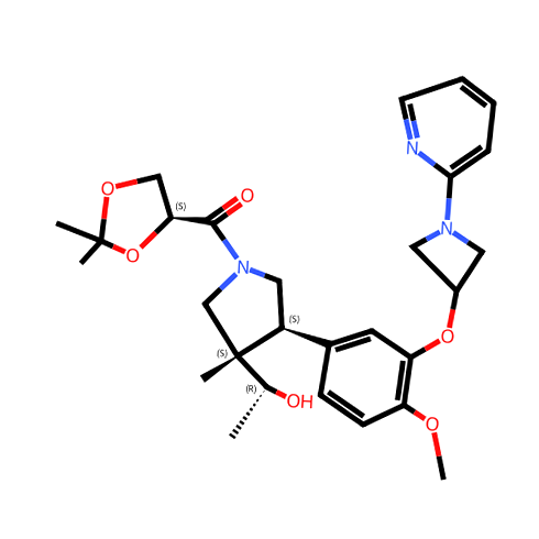 COc1ccc([C@@H]2CN(C(=O)[C@@H]3COC(C)(C)O3)C[C@@]2(C)[C@@H](C)O)cc1OC1CN(c2ccccn2)C1